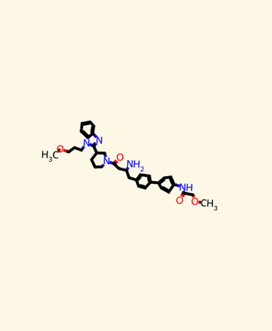 COCCCn1c(C2CCCN(C(=O)CC(N)Cc3ccc(-c4ccc(NC(=O)COC)cc4)cc3)C2)nc2ccccc21